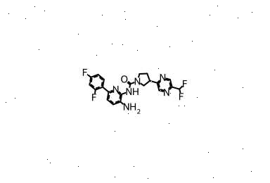 Nc1ccc(-c2ccc(F)cc2F)nc1NC(=O)N1CCC(c2cnc(C(F)F)cn2)C1